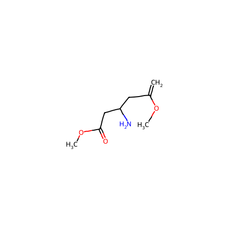 C=C(CC(N)CC(=O)OC)OC